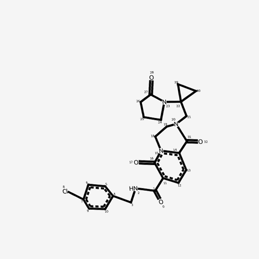 O=C(NCc1ccc(Cl)cc1)c1ccc2n(c1=O)CCN(CC1(N3CCCC3=O)CC1)C2=O